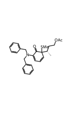 CSC1([C@@H](C)CCOC(C)=O)C=CC=C(N(Cc2ccccc2)Cc2ccccc2)C1=O